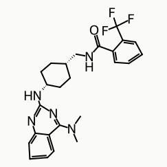 CN(C)c1nc(N[C@H]2CC[C@@H](CNC(=O)c3ccccc3C(F)(F)F)CC2)nc2ccccc12